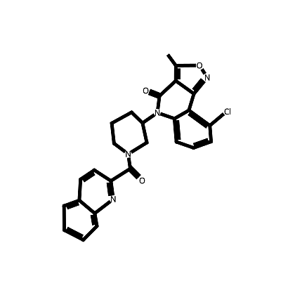 Cc1onc2c1c(=O)n(C1CCCN(C(=O)c3ccc4ccccc4n3)C1)c1cccc(Cl)c21